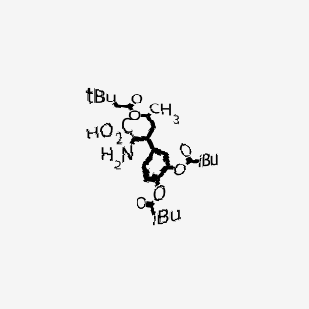 CCC(C)C(=O)Oc1ccc(C(CC(C)OC(=O)CC(C)(C)C)[C@H](N)C(=O)O)cc1OC(=O)C(C)CC